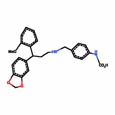 COc1ccccc1C(CCNCc1ccc(NC(=O)O)cc1)c1ccc2c(c1)OCO2